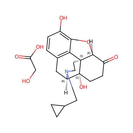 O=C(O)CO.O=C1CC[C@@]2(O)[C@H]3Cc4ccc(O)c5c4[C@@]2(CCN3CC2CC2)[C@H]1O5